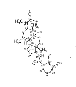 CC1CC2N(C)C(=O)CC[C@]2(C)[C@@H]2CC[C@]3(C)C(NC(=O)c4cccc(F)c4F)CC[C@H]3[C@H]12